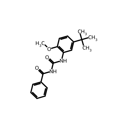 COc1ccc(C(C)(C)C)cc1NC(=O)NC(=O)c1ccccc1